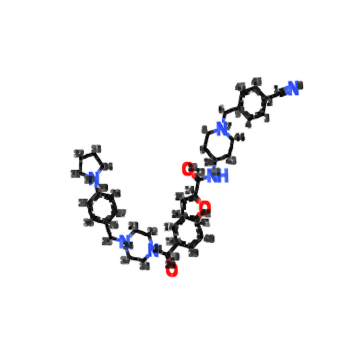 N#Cc1ccc(CN2CCC(NC(=O)c3cc4cc(C(=O)N5CCN(Cc6ccc(N7CCCC7)cc6)CC5)ccc4o3)CC2)cc1